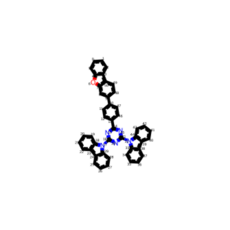 c1ccc2c(c1)oc1cc(-c3ccc(-c4nc(-n5c6ccccc6c6ccccc65)nc(-n5c6ccccc6c6ccccc65)n4)cc3)ccc12